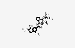 CCC(C)/C=C\c1ccc(C(=N)/N=C(\S)C2CCCN2C(=O)OC(C)(C)C)cc1C